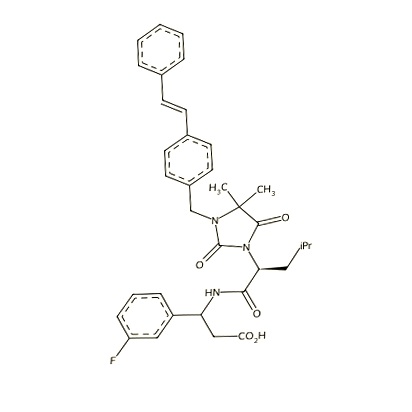 CC(C)C[C@@H](C(=O)NC(CC(=O)O)c1cccc(F)c1)N1C(=O)N(Cc2ccc(/C=C/c3ccccc3)cc2)C(C)(C)C1=O